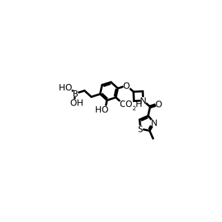 Cc1nc(C(=O)N2CC(Oc3ccc(CCB(O)O)c(O)c3C(=O)O)C2)cs1